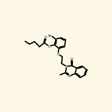 CCCCC(=O)Oc1c(Br)cccc1OCCn1c(C)nc2ccccc2c1=O